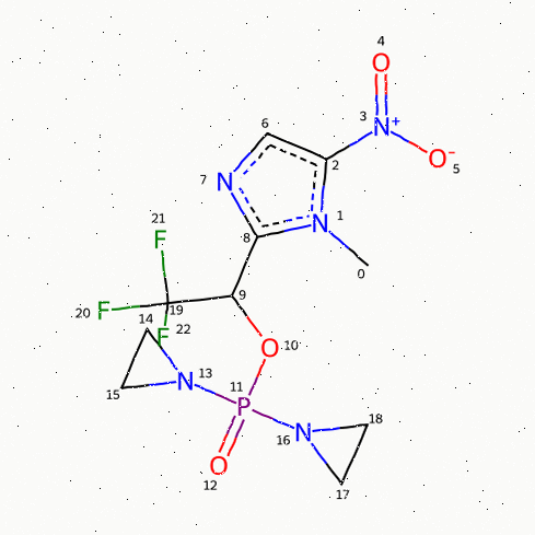 Cn1c([N+](=O)[O-])cnc1C(OP(=O)(N1CC1)N1CC1)C(F)(F)F